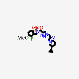 COc1ccc2c(c1F)CN(C(=O)c1cn(Cc3cn4cc(C5CC5)ccc4n3)nn1)S2(=O)=O